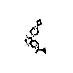 CC(C1CC1)N1CCc2c(ncnc2N2CCN(C3CCC3)CC2)C1